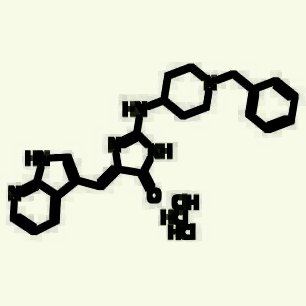 Cl.Cl.Cl.O=C1NC(NC2CCN(Cc3ccccc3)CC2)=N/C1=C\c1c[nH]c2ncccc12